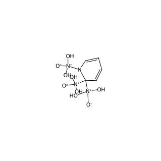 [O-][N+](O)(O)N1C=CC=CC1([N+]([O-])(O)O)[N+]([O-])(O)O